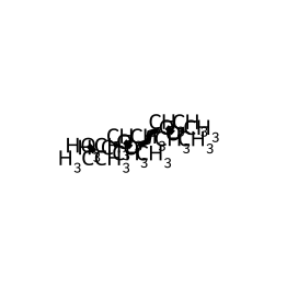 CC(C)(C)O.CC(C)(C)OOC(C)(C)CCC(C)(C)OOC(C)(C)C